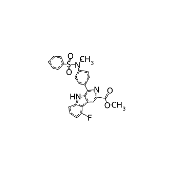 COC(=O)c1cc2c([nH]c3cccc(F)c32)c(-c2ccc(N(C)S(=O)(=O)c3ccccc3)cc2)n1